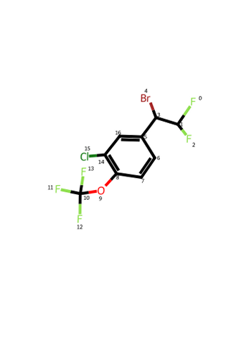 FC(F)C(Br)c1ccc(OC(F)(F)F)c(Cl)c1